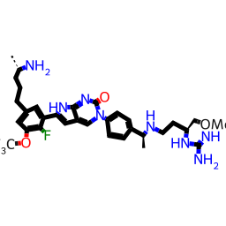 COC[C@H](CCN[C@@H](C)c1ccc(-n2cc3cc(-c4cc(CCC[C@H](C)N)cc(OC(F)(F)F)c4F)[nH]c3nc2=O)cc1)NC(=N)N